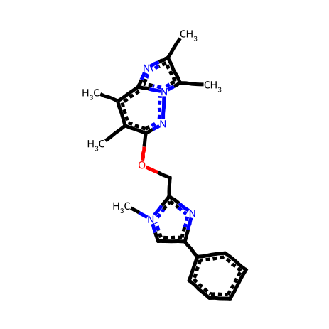 Cc1nc2c(C)c(C)c(OCc3nc(-c4ccccc4)cn3C)nn2c1C